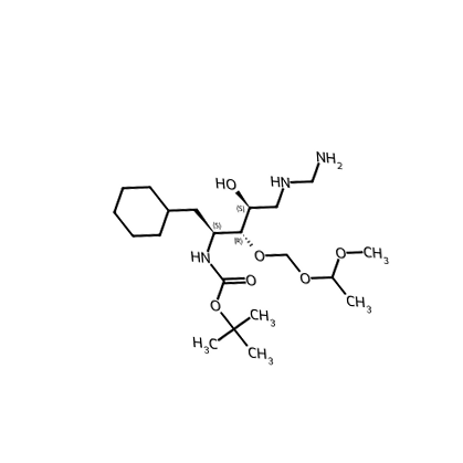 COC(C)OCO[C@H]([C@H](CC1CCCCC1)NC(=O)OC(C)(C)C)[C@@H](O)CNCN